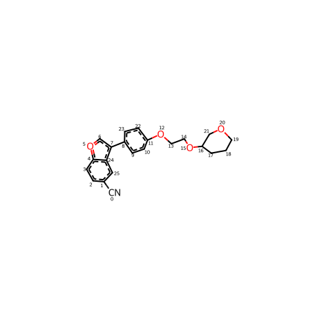 N#Cc1ccc2occ(-c3ccc(OCCOC4CCCOC4)cc3)c2c1